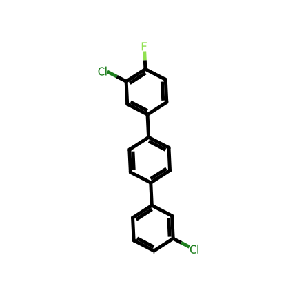 Fc1ccc(-c2ccc(-c3cc[c]c(Cl)c3)cc2)cc1Cl